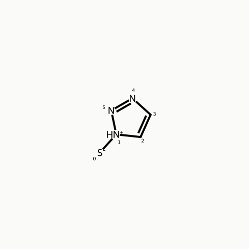 [S-][NH+]1C=CN=N1